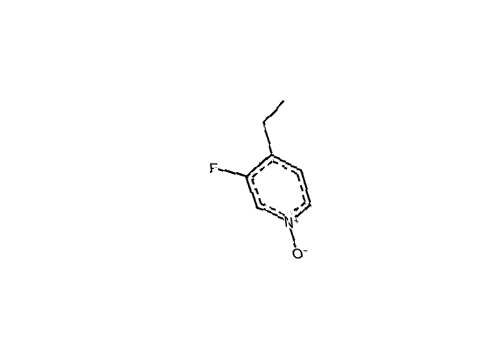 CCc1cc[n+]([O-])cc1F